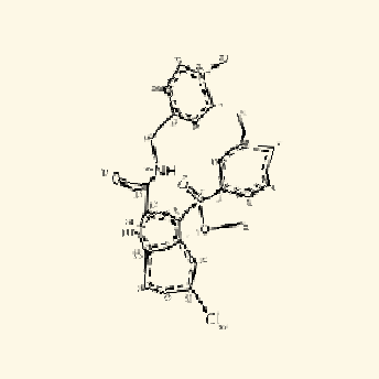 COP(=O)(c1cccc(C)c1)c1c(C(=O)NCc2cc[n+](C)cc2)[nH]c2ccc(Cl)cc12